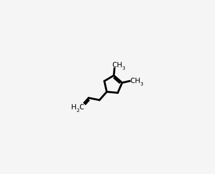 C=CCC1CC(C)=C(C)C1